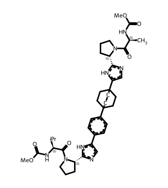 COC(=O)N[C@@H](C)C(=O)N1CCC[C@H]1c1ncc(C23CCC(c4ccc(-c5cnc([C@@H]6CCCN6C(=O)[C@@H](NC(=O)OC)C(C)C)[nH]5)cc4)(CC2)CC3)[nH]1